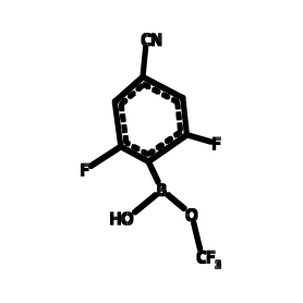 N#Cc1cc(F)c(B(O)OC(F)(F)F)c(F)c1